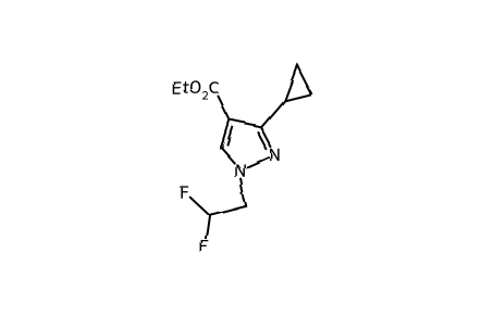 CCOC(=O)c1cn(CC(F)F)nc1C1CC1